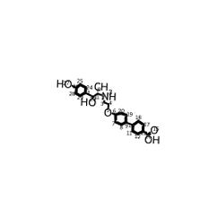 C[C@H](NCCOc1ccc(-c2ccc(C(=O)O)cc2)cc1)[C@@H](O)c1ccc(O)cc1